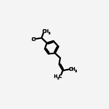 CC(C)=CCc1ccc(C(C)Cl)cc1